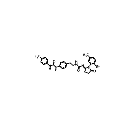 Cc1ccc(C(C)C)c(N2C(=O)CSC2=NC(=O)NCCc2ccc(NC(=O)Nc3ccc(C(F)(F)F)cc3)cc2)c1